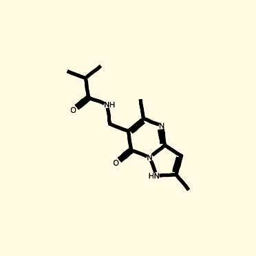 Cc1cc2nc(C)c(CNC(=O)C(C)C)c(=O)n2[nH]1